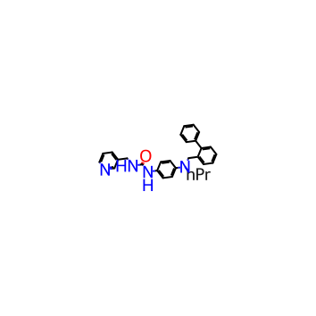 CCCN(Cc1ccccc1-c1ccccc1)c1ccc(NC(=O)NCc2cccnc2)cc1